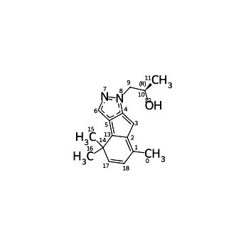 CC1=C2C=c3c(cnn3C[C@@H](C)O)=C2C(C)(C)C=C1